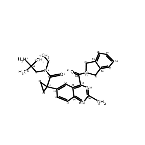 CCN(CC(C)(C)N)C(=O)C1(c2ccc3nc(N)nc(C(=O)N4Cc5ccccc5C4)c3c2)CC1